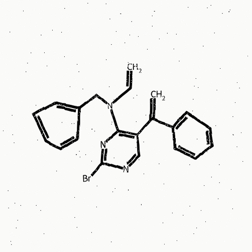 C=CN(Cc1ccccc1)c1nc(Br)ncc1C(=C)c1ccccc1